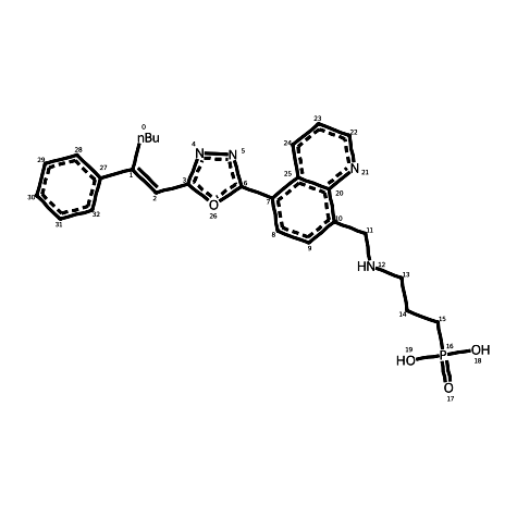 CCCC/C(=C\c1nnc(-c2ccc(CNCCCP(=O)(O)O)c3ncccc23)o1)c1ccccc1